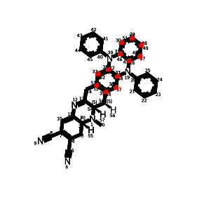 CN1[C@@H]2CC(C#N)=C(C#N)C=C2N=C2C3C4=C(CC(N(c5ccccc5)c5ccccc5)C=C4)[C@H](c4ccc(N(c5ccccc5)c5ccccc5)cc43)[C@@H]21